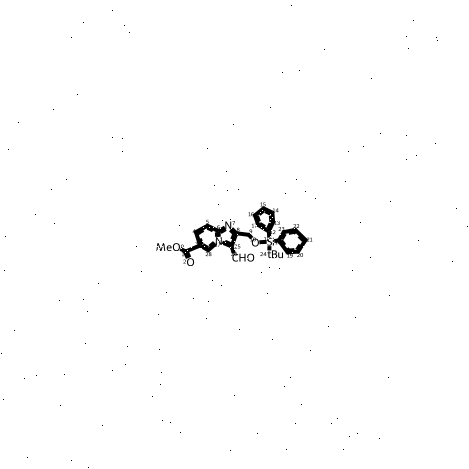 COC(=O)c1ccc2nc(CO[Si](c3ccccc3)(c3ccccc3)C(C)(C)C)c(C=O)n2c1